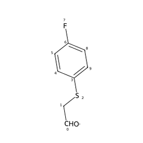 O=[C]CSc1ccc(F)cc1